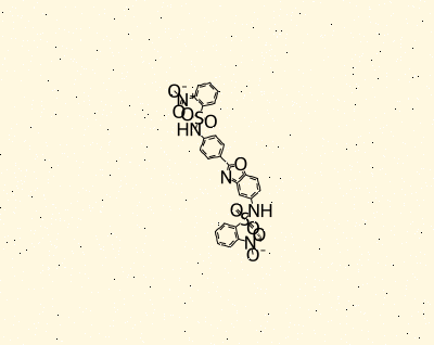 O=[N+]([O-])c1ccccc1S(=O)(=O)Nc1ccc(-c2nc3cc(NS(=O)(=O)c4ccccc4[N+](=O)[O-])ccc3o2)cc1